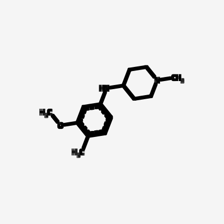 COc1cc(NC2CCN(C)CC2)ccc1C